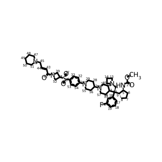 COC(=O)N[C@H]1CCC[C@@H]1[C@](CN1CCC1)(c1cccc(F)c1)C1CCN(C2CCN(c3ccc(S(=O)(=O)C4CN(C(=O)/C=C/CN5CCCCC5)C4)cc3)CC2)CC1